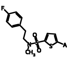 CC(=O)c1ccc(S(=O)(=O)N(C)CCc2ccc(F)cc2)s1